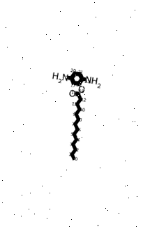 CCCCCCCCCCCCCC(=O)Oc1cc(N)ccc1N